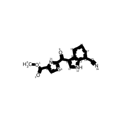 COC(=O)c1csc(C(=O)c2c[nH]c3c(C#N)cccc23)n1